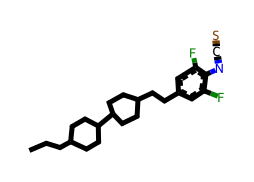 CCCC1CCC(C2CCC(CCc3cc(F)c(N=C=S)c(F)c3)CC2)CC1